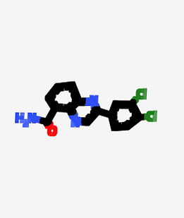 NC(=O)c1cccc2nc(-c3ccc(Cl)c(Cl)c3)cnc12